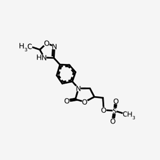 CC1NC(c2ccc(N3CC(COS(C)(=O)=O)OC3=O)cc2)=NO1